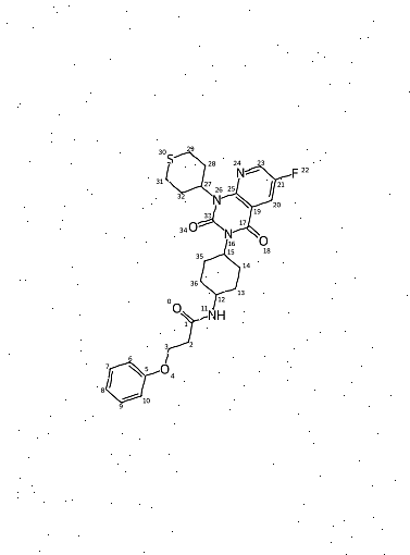 O=C(CCOc1ccccc1)NC1CCC(n2c(=O)c3cc(F)cnc3n(C3CCSCC3)c2=O)CC1